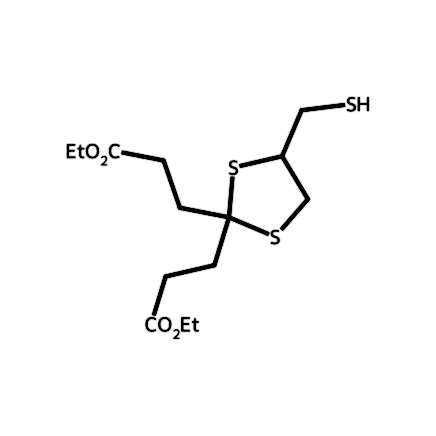 CCOC(=O)CCC1(CCC(=O)OCC)SCC(CS)S1